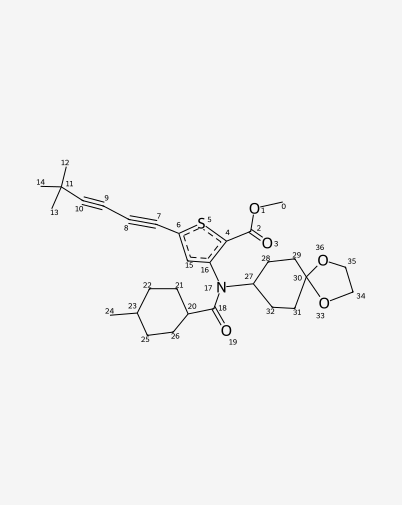 COC(=O)c1sc(C#CC#CC(C)(C)C)cc1N(C(=O)C1CCC(C)CC1)C1CCC2(CC1)OCCO2